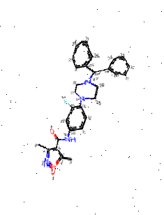 Cc1noc(C)c1C(=O)Nc1ccc(N2CCN(C(c3ccccc3)c3ccccc3)CC2)c(F)c1